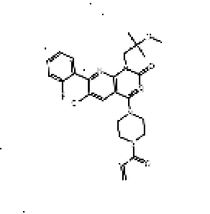 C=CC(=O)N1CCN(c2nc(=O)n(CC(C)(C)OC)c3nc(-c4ccccc4F)c(Cl)cc23)CC1